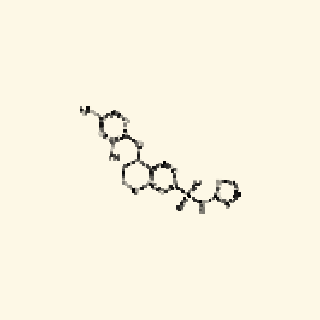 N#Cc1cc(C(F)(F)F)ccc1OC1CCOc2cc(S(=O)(=O)Nc3nccs3)ccc21